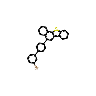 Brc1cccc(-c2ccc(-c3cc4c5ccccc5sc4c4ccccc34)cc2)c1